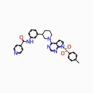 Cc1ccc(S(=O)(=O)n2ccc3c(N4CCCC(c5cccc(NC(=O)c6ccncc6)c5)C4)ncnc32)cc1